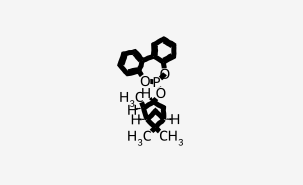 C[C@@H]1[C@H]2C[C@@H](C[C@H]1Op1oc3ccccc3c3ccccc3o1)C2(C)C